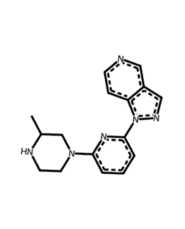 CC1CN(c2cccc(-n3ncc4cnccc43)n2)CCN1